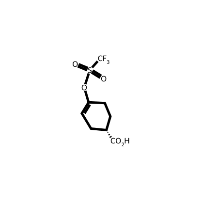 O=C(O)[C@@H]1CC=C(OS(=O)(=O)C(F)(F)F)CC1